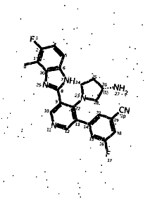 Cc1c(F)ccc2[nH]c(-c3cncc(-c4cc(F)cc(C#N)c4)c3N3CC[C@H](N)C3)nc12